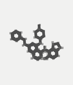 CN1CCC(Oc2cc(OCc3ccccc3)cc3ncnc(Nc4c(Cl)ccc5c4OCO5)c23)CC1